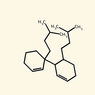 CC(C)CC[C]1CCC=CC1C1(CCC(C)C)C=CCCC1